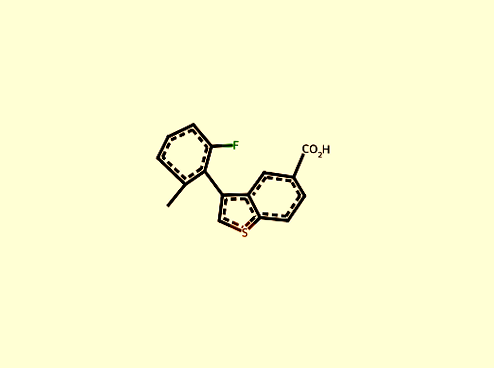 Cc1cccc(F)c1-c1csc2ccc(C(=O)O)cc12